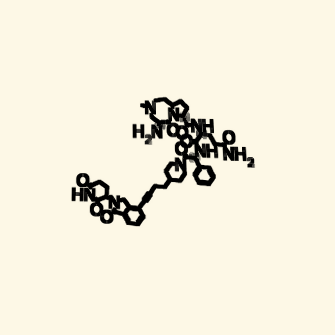 CN1CCC2CC[C@@H](C(=O)N[C@@H](CCC(N)=O)C(=O)N[C@H](C(=O)N3CCC(CCC#Cc4cccc5c4CN(C4CCC(=O)NC4=O)C5=O)CC3)c3ccccc3)N2C(=O)[C@@H](N)C1